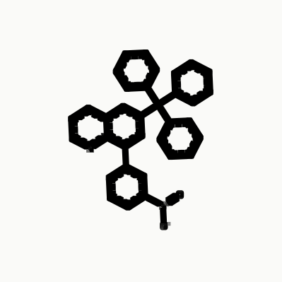 O=[N+]([O-])c1cccc(-c2cc(C(c3ccccc3)(c3ccccc3)c3ccccc3)cc3cccnc23)c1